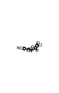 N#Cc1ccc(-c2cc3oc(C=C4C(=O)c5cc(Cl)c(Cl)cc5C4=O)nc3o2)cc1